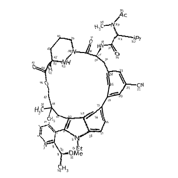 CCn1c(-c2cccnc2[C@H](C)OC)c2c3cc(ccc31)-c1cc(C#N)cc(c1)C[C@H](NC(=O)C(C(C)C)N(C)C(C)=O)C(=O)N1CCC[C@H](N1)C(=O)OCC(C)(C)C2